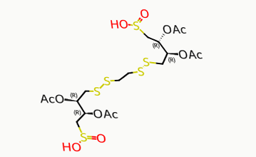 CC(=O)O[C@@H](CSSCCSSC[C@H](OC(C)=O)[C@H](CS(=O)O)OC(C)=O)[C@H](CS(=O)O)OC(C)=O